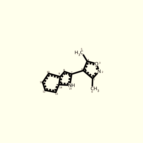 Cc1noc(C)c1-c1cc2ccccc2[nH]1